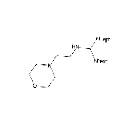 CCCCCCCC(CCCCC)NCCN1CCOCC1